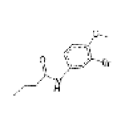 CCCC(=O)Nc1ccc(OC)c(Br)c1